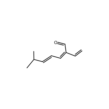 C=CC(C=O)=CC=CC(C)C